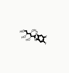 OC[C@@H](O)[C@H](O)[C@@H](O)c1nc2cc(F)c(F)cc2[nH]1